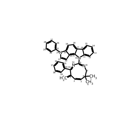 C=C1/C=C\C(C)(C)C/N=C(n2c3ccccc3c3ccc4c(ccn4-c4ccccc4)c32)\N=C/1c1ccccc1